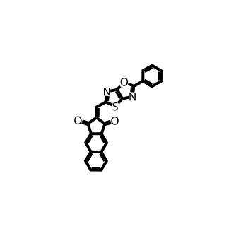 O=C1C(=Cc2nc3oc(-c4ccccc4)nc3s2)C(=O)c2cc3ccccc3cc21